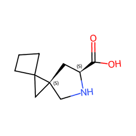 O=C(O)[C@@H]1C[C@@]2(CN1)CC21CCC1